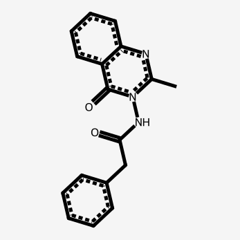 Cc1nc2ccccc2c(=O)n1NC(=O)Cc1ccccc1